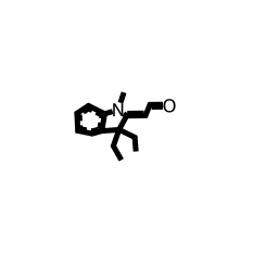 CCC1(CC)C(=CC=O)N(C)c2ccccc21